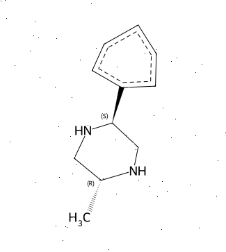 C[C@@H]1CN[C@@H](c2ccccc2)CN1